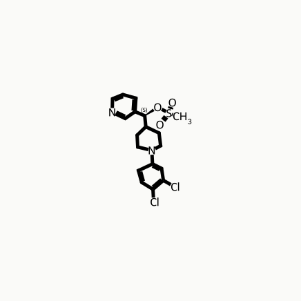 CS(=O)(=O)O[C@H](c1cccnc1)C1CCN(c2ccc(Cl)c(Cl)c2)CC1